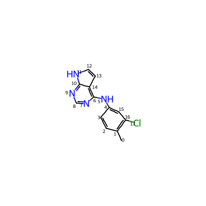 Cc1ccc(Nc2ncnc3[nH]ccc23)cc1Cl